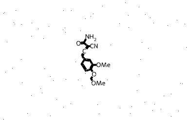 COCOc1ccc(C=C=C(C#N)C(N)=O)cc1OC